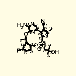 C[C@H]1Oc2nc(cnc2N)-c2c(nn(C)c2C#N)CS(=O)(=NCC(C)(C)O)Cc2ccc(F)cc21